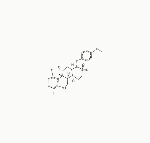 COc1ccc(CN2[C@@H]3CC[C@@]4(C=O)c5c(F)ccc(F)c5OC[C@H]4[C@@H]3CCS2(=O)=O)cc1